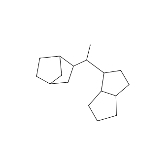 CC(C1CC2CCC1C2)C1CCC2CCCC21